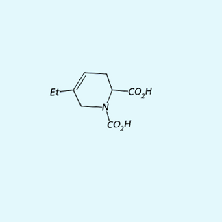 CCC1=CCC(C(=O)O)N(C(=O)O)C1